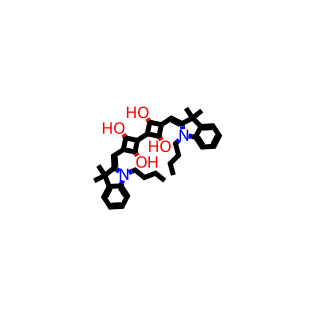 CCCCN1C(=CC2C(O)C(C3C(O)C(C=C4N(CCCC)c5ccccc5C4(C)C)C3O)C2O)C(C)(C)c2ccccc21